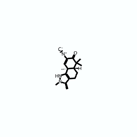 [C-]#[N+]C1=C[C@]2(C)C3=C(CC[C@H]2C(C)(C)C1=O)C(=C)N(C)N3